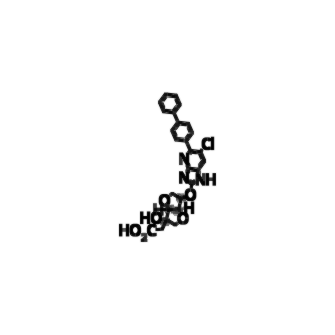 O=C(O)C[C@]1(O)CO[C@H]2[C@H]1OC[C@H]2Oc1nc2nc(-c3ccc(-c4ccccc4)cc3)c(Cl)cc2[nH]1